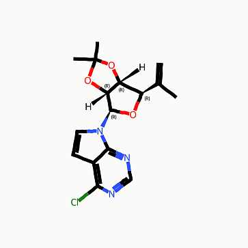 C=C(C)[C@H]1O[C@@H](n2ccc3c(Cl)ncnc32)[C@@H]2OC(C)(C)O[C@@H]21